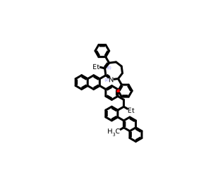 CCC1=C(\c2ccccc2)CCCC(c2ccccc2)/N=C\1c1cc2ccccc2cc1-c1ccc(CC(CC)c2ccccc2-c2ccc3ccccc3c2C)cc1